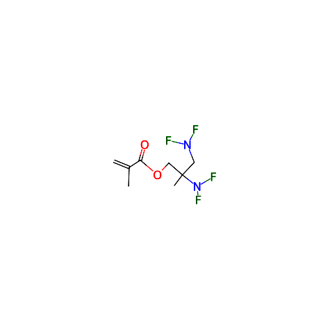 C=C(C)C(=O)OCC(C)(CN(F)F)N(F)F